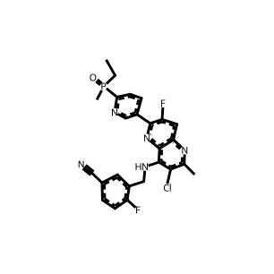 CCP(C)(=O)c1ccc(-c2nc3c(NCc4cc(C#N)ccc4F)c(Cl)c(C)nc3cc2F)cn1